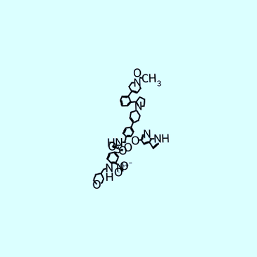 CC(=O)N1CC=C(c2ccccc2C2CCCN2C2CC=C(c3ccc(C(=O)NS(=O)(=O)c4ccc(NCC5CCOCC5)c([N+](=O)[O-])c4)c(Oc4cnc5[nH]ccc5c4)c3)CC2)CC1